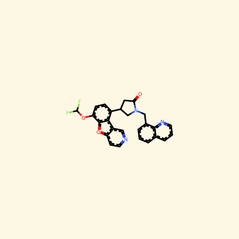 O=C1CC(c2ccc(OC(F)F)c3oc4ccncc4c23)CN1Cc1cccc2cccnc12